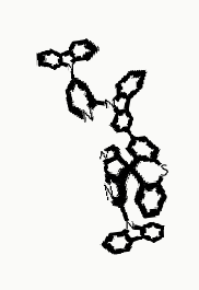 c1ccc2c(c1)Sc1ccc(-c3ccc4c(c3)c3ccccc3n4-c3cc(-n4c5ccccc5c5ccccc54)ccn3)cc1C21c2cccnc2-c2ncc(-n3c4ccccc4c4ccccc43)cc21